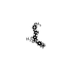 Cc1cc(-c2cncc(CN3CCN(C)CC3)c2)cc2c1C(=O)N(Cc1ccc(OC(F)(F)F)cc1)C2